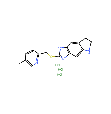 Cc1ccc(CSc2nc3cc4c(cc3[nH]2)CCN4)nc1.Cl.Cl.Cl